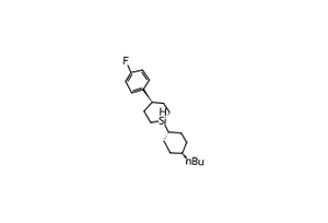 CCCC[C@H]1CC[C@H]([Si@H]2CC[C@H](c3ccc(F)cc3)CC2)CC1